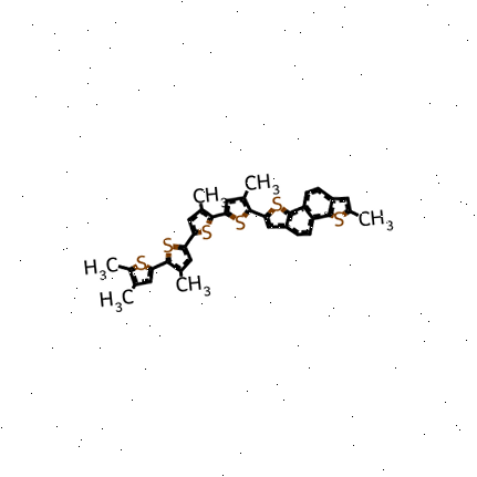 Cc1cc2ccc3c(ccc4cc(-c5sc(-c6sc(-c7cc(C)c(-c8cc(C)c(C)s8)s7)cc6C)cc5C)sc43)c2s1